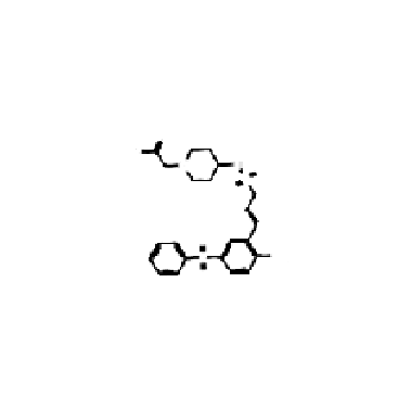 NC(=O)CN1CCC(NS(=O)(=O)CC=Cc2cc(S(=O)(=O)c3ccccc3)ccc2C(F)(F)F)CC1